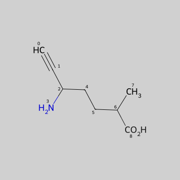 C#CC(N)CCC(C)C(=O)O